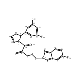 C=C(CCCn1cc2cc(F)ccc2n1)C(=O)N1N=CCC1c1cc(F)cc(F)c1